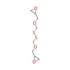 C(OCC1CO1)SSCOCC1CO1